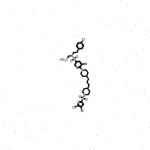 O=C(O)CN(CCc1ccc(Cl)cc1)S(=O)(=O)c1cnc(N2CCC(CCCC3CCN(S(=O)(=O)c4cc(Br)c(Cl)s4)CC3)CC2)c(Br)c1